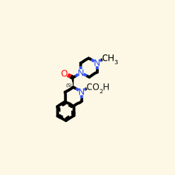 CN1CCN(C(=O)[C@@H]2Cc3ccccc3CN2C(=O)O)CC1